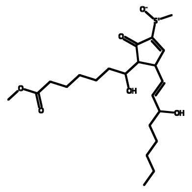 CCCCCC(O)C=CC1C=C([S+](C)[O-])C(=O)C1C(O)CCCCCC(=O)OC